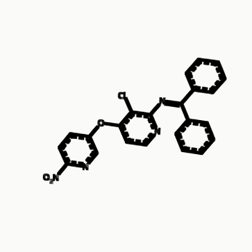 O=[N+]([O-])c1ccc(Oc2ccnc(N=C(c3ccccc3)c3ccccc3)c2Cl)cn1